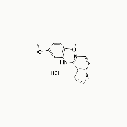 COc1ccc(OC)c(Nc2nccc3sccc23)c1.Cl